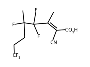 CC(=C(C#N)C(=O)O)C(F)(F)C(C)(F)CCC(F)(F)F